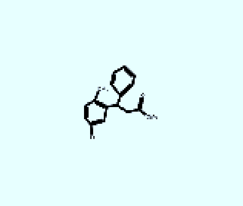 CCc1ccc(OC)c(C(CC(=O)OC)c2ccccc2)c1